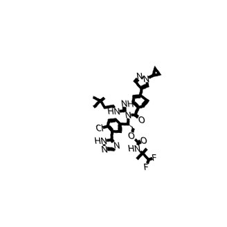 CC(C)(C)CCNC(=N)N(C(=O)c1ccc(-c2cnn(C3CC3)c2)cc1)[C@H](COC(=O)NC(C)(C)C(F)F)c1ccc(Cl)c(-c2ncn[nH]2)c1